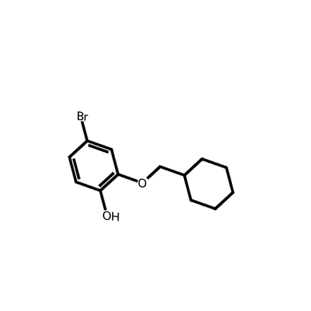 Oc1ccc(Br)cc1OCC1CCCCC1